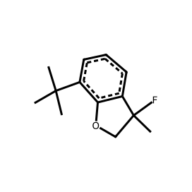 CC(C)(C)c1cccc2c1OCC2(C)F